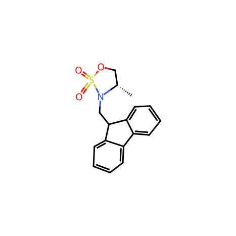 C[C@H]1COS(=O)(=O)N1CC1c2ccccc2-c2ccccc21